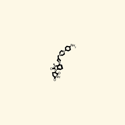 Cn1c(=O)n(C2CCC(=O)NC2=O)c2cccc(N3CC(CN4CCN(C5CCC(N)CC5)CC4)C3)c21